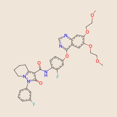 COCCOc1cc2ncnc(Oc3ccc(NC(=O)c4c5n(n(-c6cccc(F)c6)c4=O)CCCC5)c(F)c3)c2cc1OCCOC